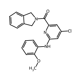 COc1ccccc1Nc1cc(Cl)cc(C(=O)N2Cc3ccccc3C2)n1